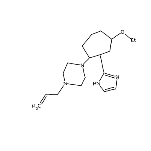 C=CCN1CCN(C2CCCC(OCC)CC2c2ncc[nH]2)CC1